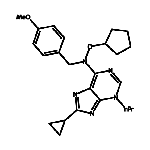 CCCn1cnc(N(Cc2ccc(OC)cc2)OC2CCCC2)c2nc(C3CC3)nc1-2